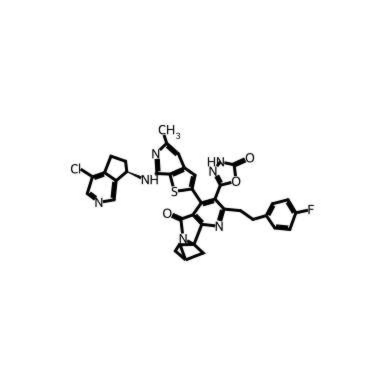 Cc1cc2cc(-c3c4c(nc(CCc5ccc(F)cc5)c3-c3n[nH]c(=O)o3)C35CC(CN3C4=O)C5)sc2c(N[C@@H]2CCc3c(Cl)cncc32)n1